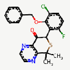 CC1(C)SC(c2c(F)ccc(Cl)c2OCc2ccccc2)C(=O)c2nccnc21